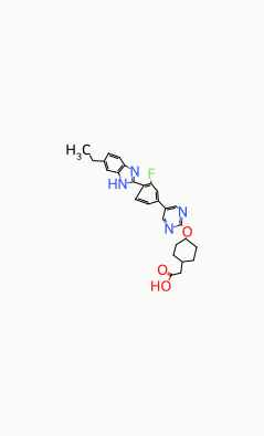 CCc1ccc2nc(-c3ccc(-c4cnc(OC5CCC(CC(=O)O)CC5)nc4)cc3F)[nH]c2c1